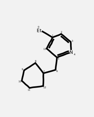 CCc1ccnc(CC2CCCCC2)c1